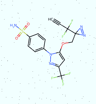 C#CC(F)(F)C1(COc2cc(C(F)(F)F)nn2-c2ccc(S(N)(=O)=O)cc2)N=N1